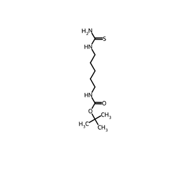 CC(C)(C)OC(=O)NCCCCCNC(N)=S